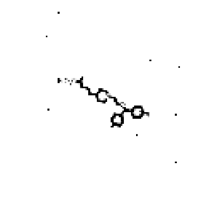 CCOC(=O)/C(C)=C/CCC1CCN(CCOC(c2ccc(F)cc2)c2ccc(F)cc2)CC1